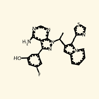 CC(c1cc2ccccn2c1-c1cscn1)n1nc(-c2cc(O)cc(F)c2)c2c(N)ncnc21